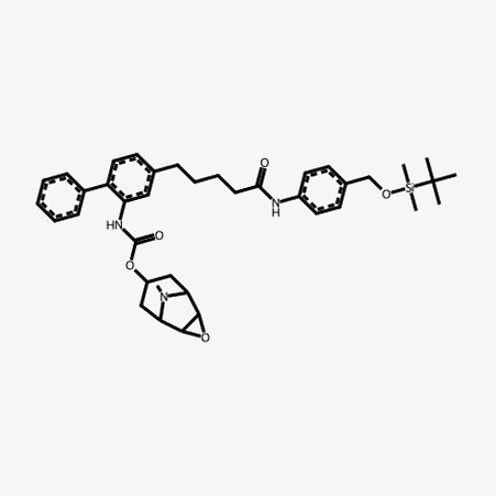 CN1C2CC(OC(=O)Nc3cc(CCCCC(=O)Nc4ccc(CO[Si](C)(C)C(C)(C)C)cc4)ccc3-c3ccccc3)CC1C1OC12